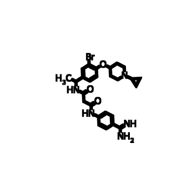 CC(NC(=O)CC(=O)Nc1ccc(C(=N)N)cc1)c1ccc(OC2CCN(C3CC3)CC2)c(Br)c1